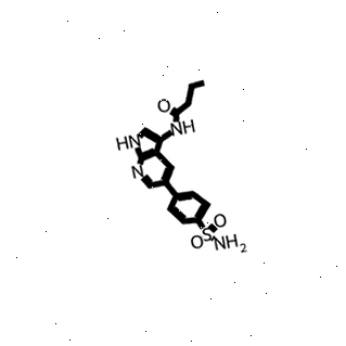 CCCC(=O)Nc1c[nH]c2ncc(-c3ccc(S(N)(=O)=O)cc3)cc12